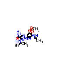 C=CCNc1cc(Nc2ncc(C(N)=O)c(NC(C)C(C)C)n2)ccc1OS(C)(=O)=O